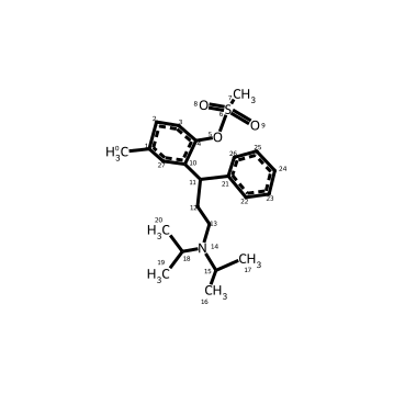 Cc1ccc(OS(C)(=O)=O)c(C(CCN(C(C)C)C(C)C)c2ccccc2)c1